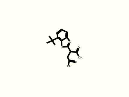 CC(C)(C)c1cccc2nc(C(CC(=O)O)C(O)=S)oc12